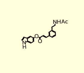 CC(=O)NCCc1cccc(C=CC(=O)Oc2ccc3[nH]ccc3c2)c1